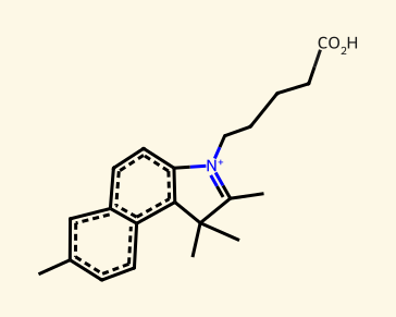 CC1=[N+](CCCCC(=O)O)c2ccc3cc(C)ccc3c2C1(C)C